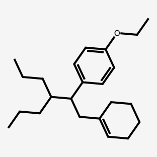 CCCC(CCC)C(CC1=CCCCC1)c1ccc(OCC)cc1